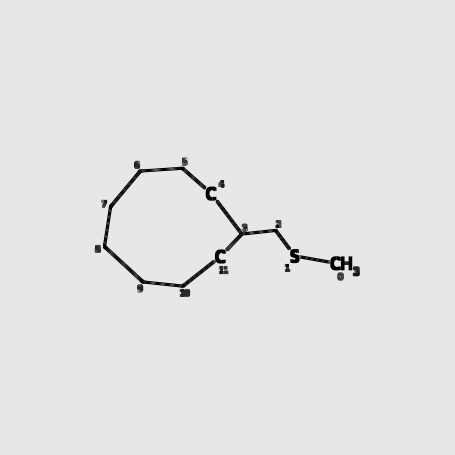 CSCC1CCCCCCCC1